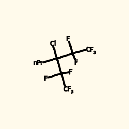 CCCC(Cl)(C(F)(F)C(F)(F)F)C(F)(F)C(F)(F)F